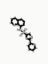 O=S(=O)(Nc1cccc2cccnc12)c1cnc(-c2ccccn2)s1